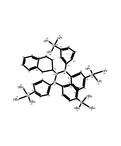 CCCC[Si](CCCC)(CCCC)c1ccc(P(c2ccc([Si](CCCC)(CCCC)CCCC)cc2)N(C2CCc3ccccc3C2)P(c2cccc([Si](CCC)(CCC)CCC)c2)c2cccc([Si](CCC)(CCC)CCC)c2)cc1